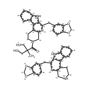 CC(CO)(CO)C(=O)N1CCc2c(nc(Cc3ccc4c(c3)OCO4)c3[nH]c4ccccc4c23)C1.c1ccc2c(c1)[nH]c1c(Cc3ccc4c(c3)OCO4)nc3c(c12)CCNC3